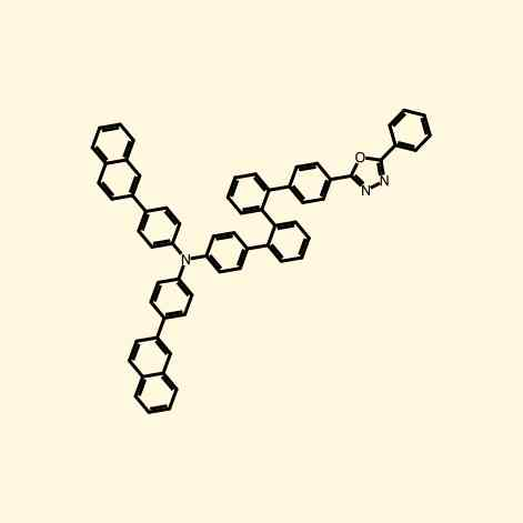 c1ccc(-c2nnc(-c3ccc(-c4ccccc4-c4ccccc4-c4ccc(N(c5ccc(-c6ccc7ccccc7c6)cc5)c5ccc(-c6ccc7ccccc7c6)cc5)cc4)cc3)o2)cc1